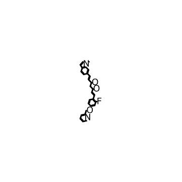 Cn1ccc2ccc(C=CC(=O)CC(=O)C=Cc3ccc(OCc4ccccn4)cc3F)cc21